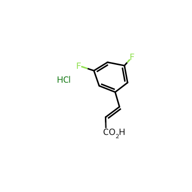 Cl.O=C(O)C=Cc1cc(F)cc(F)c1